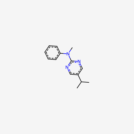 CC(C)c1cnc(N(C)c2ccccc2)nc1